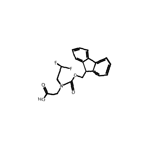 O=C(O)CN(CC(F)F)C(=O)OCC1c2ccccc2-c2ccccc21